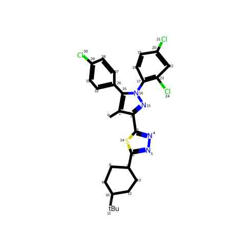 Cc1c(-c2nnc(C3CCC(C(C)(C)C)CC3)s2)nn(-c2ccc(Cl)cc2Cl)c1-c1ccc(Cl)cc1